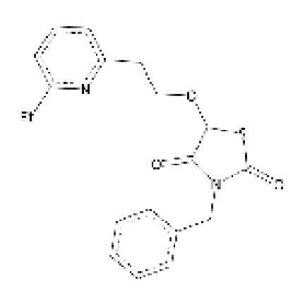 CCc1cccc(CCOC2SC(=O)N(Cc3ccccc3)C2=O)n1